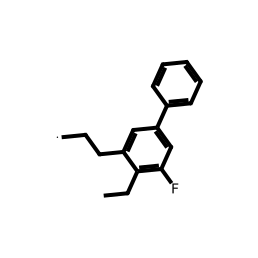 [CH2]CCc1cc(-c2ccccc2)cc(F)c1CC